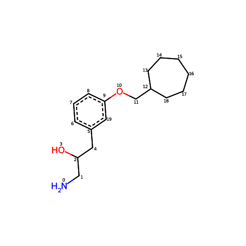 NCC(O)Cc1cccc(OCC2CCCCCC2)c1